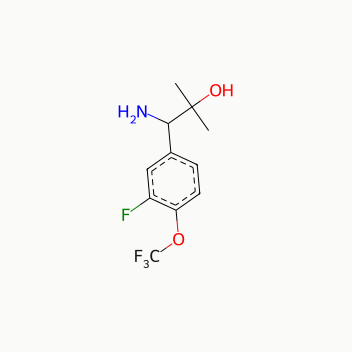 CC(C)(O)C(N)c1ccc(OC(F)(F)F)c(F)c1